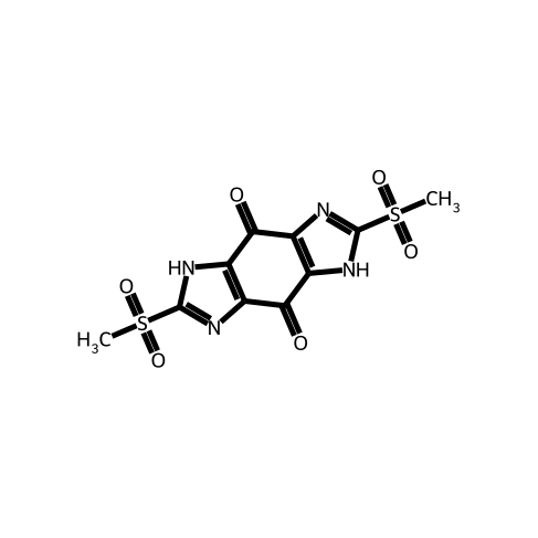 CS(=O)(=O)c1nc2c([nH]1)C(=O)c1nc(S(C)(=O)=O)[nH]c1C2=O